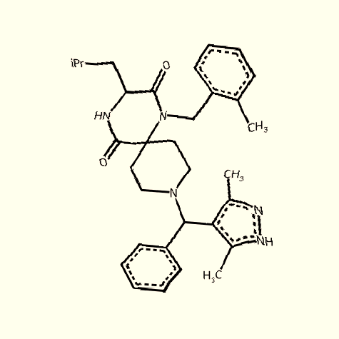 Cc1ccccc1CN1C(=O)C(CC(C)C)NC(=O)C12CCN(C(c1ccccc1)c1c(C)n[nH]c1C)CC2